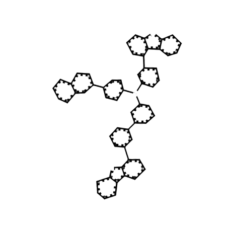 c1cc(-c2cccc(N(c3ccc(-c4ccc5ccccc5c4)cc3)c3cccc(-c4cccc5oc6ccccc6c45)c3)c2)cc(-c2cccc3c2sc2ccccc23)c1